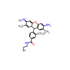 CC/N=C1/C=C2Oc3cc(N)c(C)cc3C(c3ccc(C(=O)NCCC(C)C)cc3C(=O)O)C2C=C1C